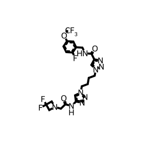 O=C(CN1CC(F)(F)C1)Nc1cn(CCCCn2cc(C(=O)NCc3cc(OC(F)(F)F)ccc3F)nn2)nn1